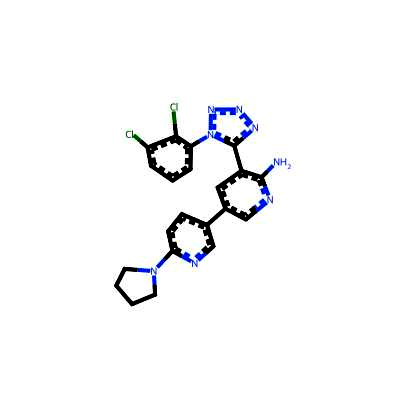 Nc1ncc(-c2ccc(N3CCCC3)nc2)cc1-c1nnnn1-c1cccc(Cl)c1Cl